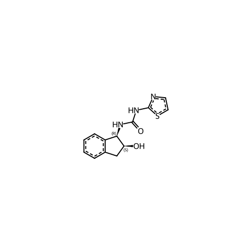 O=C(Nc1nccs1)N[C@@H]1c2ccccc2C[C@@H]1O